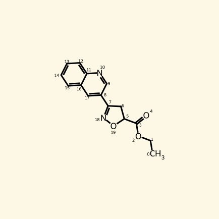 CCOC(=O)C1CC(c2cnc3ccccc3c2)=NO1